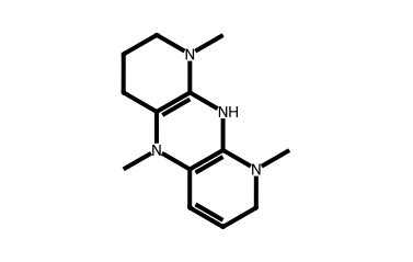 CN1CC=CC2=C1NC1=C(CCCN1C)N2C